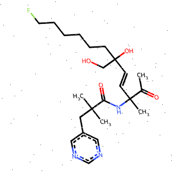 CC(=O)C(C)(/C=C/C(O)(CO)CCCCCCF)NC(=O)C(C)(C)Cc1cncnc1